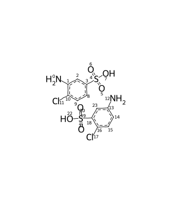 Nc1cc(S(=O)(=O)O)ccc1Cl.Nc1ccc(Cl)c(S(=O)(=O)O)c1